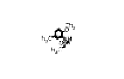 CCS(=O)(=O)Nc1cc(C)ccc1OC